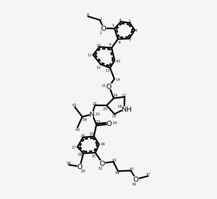 CCOc1ccccc1-c1cccc(COC2CNCC2CN(C(=O)c2ccc(OC)c(OCCCOC)c2)C(C)C)c1